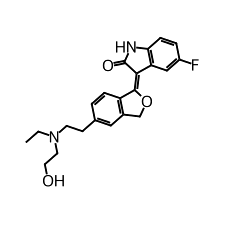 CCN(CCO)CCc1ccc2c(c1)COC2=C1C(=O)Nc2ccc(F)cc21